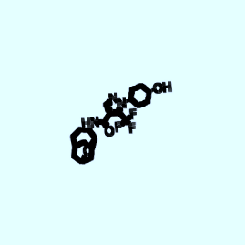 O=C(N[C@H]1CCC2CC3CC(C2)C1C3)c1cnn([C@H]2CC[C@@H](O)CC2)c1C(F)(F)F